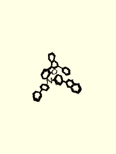 c1ccc(-c2ccc(N(c3ccc(-c4ccc5ccccc5c4)cc3)c3cccc4c3oc3c(-c5ccccc5)cc5ccccc5c34)cc2)cc1